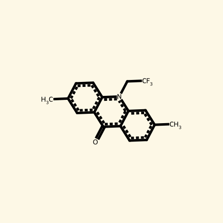 Cc1ccc2c(c1)c(=O)c1ccc(C)cc1n2CC(F)(F)F